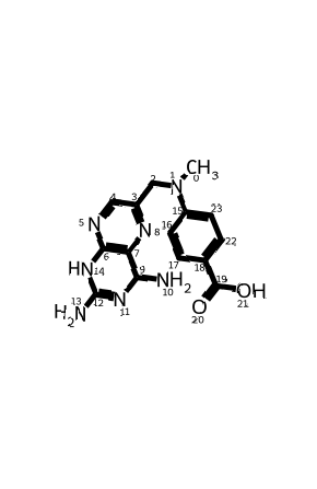 CN(Cc1cnc2c(n1)C(N)N=C(N)N2)c1ccc(C(=O)O)cc1